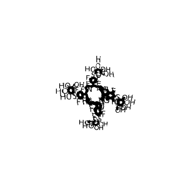 OC[C@H]1O[C@H](Sc2c(F)c(F)c(-c3c4nc(c(-c5c(F)c(F)c(S[C@H]6O[C@H](CO)[C@H](O)C(O)C6O)c(F)c5F)c5ccc([nH]5)c5c(nc6oc7c(F)c(S[C@H]8O[C@H](CO)[C@H](O)C(O)C8O)c(F)c(F)c7c6c6ccc3[nH]6)oc3c(F)c(S[C@H]6O[C@H](CO)[C@H](O)C(O)C6O)c(F)c(F)c35)C=C4)c(F)c2F)C(O)C(O)[C@H]1O